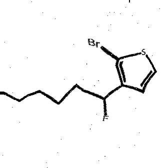 CCCCCC(F)c1ccsc1Br